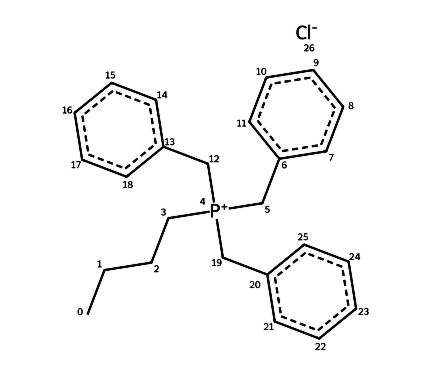 CCCC[P+](Cc1ccccc1)(Cc1ccccc1)Cc1ccccc1.[Cl-]